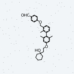 Cc1cc(OCCC2(O)CCCCC2)cc(C)c1-c1cccc(COc2ccc(C=O)cc2)c1C